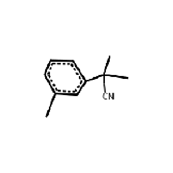 Cc1cccc(C(C)(C)C#N)c1